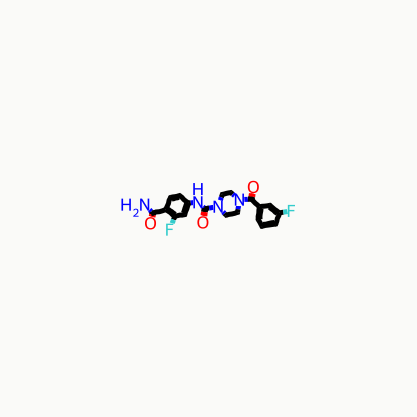 NC(=O)c1ccc(NC(=O)N2CCN(C(=O)c3cccc(F)c3)CC2)cc1F